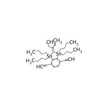 C#Cc1ccc(C#C)[c]([Sn]([CH2]CCC)([CH2]CCC)[CH2]CCC)[c]1[Sn]([CH2]CCC)([CH2]CCC)[CH2]CCC